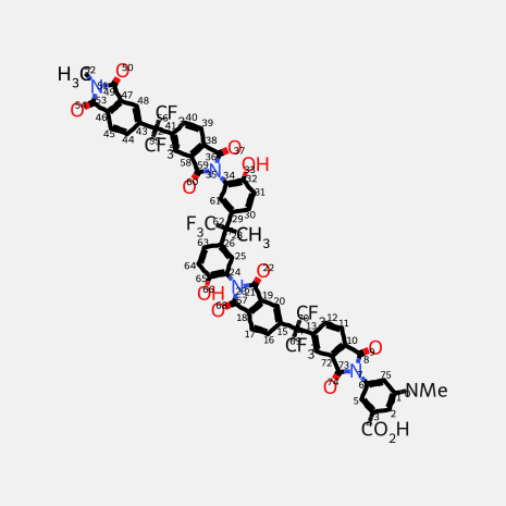 CNc1cc(C(=O)O)cc(N2C(=O)c3ccc(C(c4ccc5c(c4)C(=O)N(c4cc(C(C)(c6ccc(O)c(N7C(=O)c8ccc(C(c9ccc%10c(c9)C(=O)N(C)C%10=O)(C(F)(F)F)C(F)(F)F)cc8C7=O)c6)C(F)(F)F)ccc4O)C5=O)(C(F)(F)F)C(F)(F)F)cc3C2=O)c1